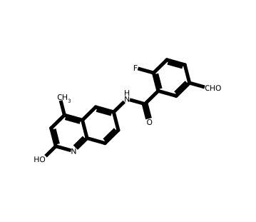 Cc1cc(O)nc2ccc(NC(=O)c3cc(C=O)ccc3F)cc12